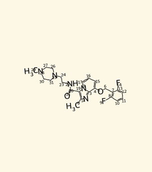 Cc1nc2c(OCc3c(F)cccc3F)cccn2c1C(=O)NCCN1CCN(C)CC1